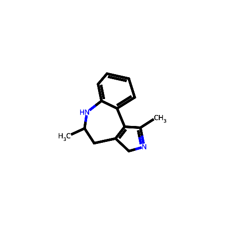 CC1=NCC2=C1c1ccccc1NC(C)C2